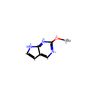 CCCCOc1ncc2cc[nH]c2n1